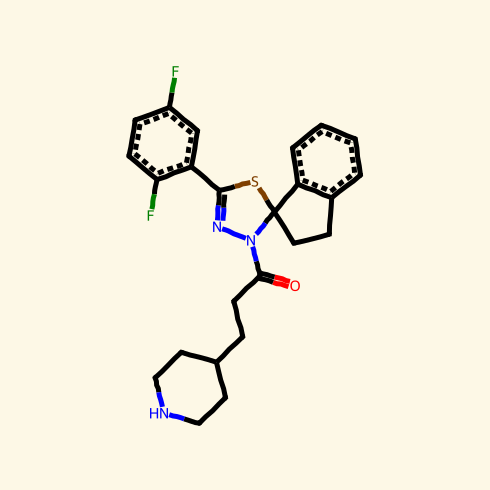 O=C(CCC1CCNCC1)N1N=C(c2cc(F)ccc2F)SC12CCc1ccccc12